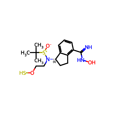 CC(C)(C)[S+]([O-])N(CCOS)[C@H]1CCc2c(C(=N)NO)cccc21